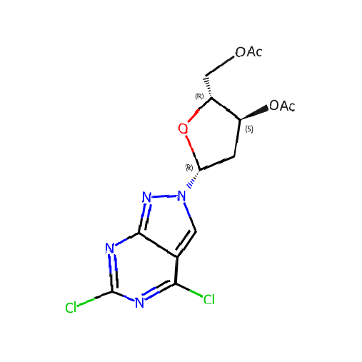 CC(=O)OC[C@H]1O[C@@H](n2cc3c(Cl)nc(Cl)nc3n2)C[C@@H]1OC(C)=O